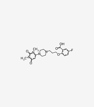 Cn1c(N2CCN(CCCOc3ccc(F)cc3C(=O)O)CC2)cc(=O)n(C)c1=O